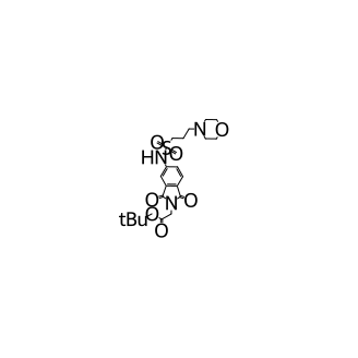 CC(C)(C)OC(=O)CN1C(=O)c2ccc(NS(=O)(=O)CCCN3CCOCC3)cc2C1=O